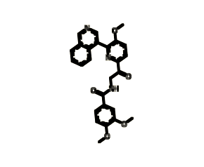 COc1ccc(C(=O)NCC(=O)c2ccc(OC)c(-c3cncc4ccccc34)n2)cc1OC